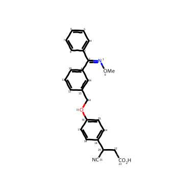 CON=C(c1ccccc1)c1cccc(COc2ccc(C(C#N)CC(=O)O)cc2)c1